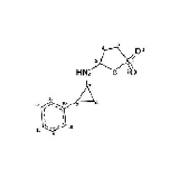 O=S1(=O)CCC(NC2CC2c2ccccc2)C1